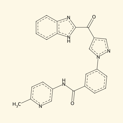 Cc1ccc(NC(=O)c2cccc(-n3cc(C(=O)c4nc5ccccc5[nH]4)cn3)c2)cn1